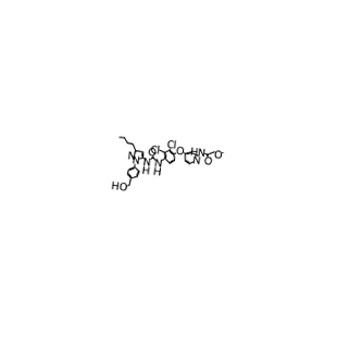 CCCCc1cc(NC(=O)Nc2ccc(Oc3ccnc(NC(=O)COC)c3)c(Cl)c2Cl)n(-c2ccc(CO)cc2)n1